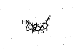 CC#Cc1ccc2sc3ccc([C@@]4(C)NC(=N)COCC4(F)F)cc3c2c1